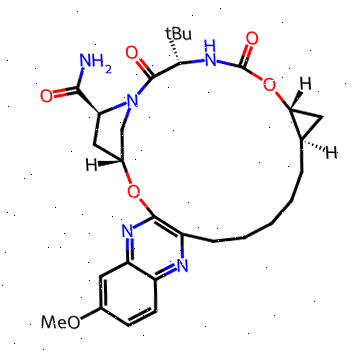 COc1ccc2nc3c(nc2c1)O[C@@H]1C[C@@H](C(N)=O)N(C1)C(=O)[C@H](C(C)(C)C)NC(=O)O[C@@H]1C[C@H]1CCCCC3